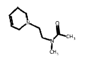 CC(=O)N(C)CCN1CC=CCC1